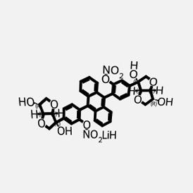 O=[N+]([O-])Oc1cc([C@@]2(O)CO[C@@H]3[C@H](O)CO[C@@H]32)ccc1-c1c2ccccc2c(-c2ccc([C@@]3(O)CO[C@@H]4[C@H](O)CO[C@@H]43)cc2O[N+](=O)[O-])c2ccccc12.[LiH]